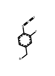 Fc1cc(CBr)ccc1N=C=S